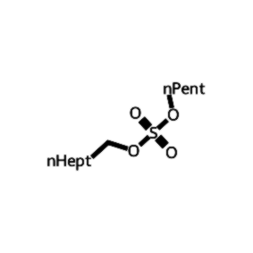 CCCCCCCCOS(=O)(=O)OCCCCC